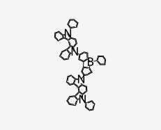 c1ccc(B2c3ccc(-n4c5ccccc5c5c6c7ccccc7n(-c7ccccc7)c6ccc54)cc3-c3cc(-n4c5ccccc5c5c6c7ccccc7n(-c7ccccc7)c6ccc54)ccc32)cc1